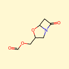 O=[C]OCC1CN2C(=O)CC2O1